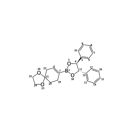 C1=C(B2O[C@@H](c3ccccc3)[C@H](c3ccccc3)O2)CCC2(C1)OCCO2